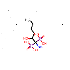 CCCCC(O)C(N)(P(=O)(O)O)P(=O)(O)O